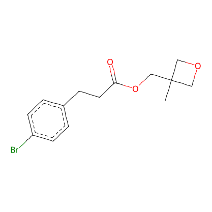 CC1(COC(=O)CCc2ccc(Br)cc2)COC1